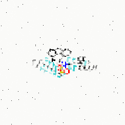 CN(C(F)(F)C(F)(F)C(F)(C(=O)O)C(F)(F)F)S(=O)(=O)C(F)(F)C(F)(F)C(F)(F)C(F)(F)C(F)(F)C(F)(F)F.c1ccc2c(c1)Cc1ccccc1-2